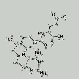 CC(=O)[C@H](CCC(=O)O)NC(=O)c1ccc(N(C)Cc2cnc3nc(N)nc(N)c3n2)cc1